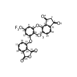 O=C1CC(=O)c2c(Oc3cc(C(F)(F)F)cc(Oc4cccc5c4C(=O)OC5=O)c3C(F)(F)F)cccc21